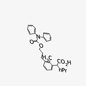 CCCC(C(=O)O)c1cccc(CCCOC(=O)N(c2ccccc2)c2ccccc2)c1C